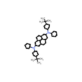 CC(C)(C)c1ccc(N(c2ccccc2)c2cc3ccc4cc(N(c5ccccc5)c5ccc(C(C)(C)C)cc5)cc5ccc(c2)c3c45)cc1